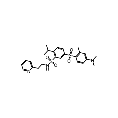 Cc1cc(N(C)C)ccc1S(=O)(=O)c1ccc(C(C)C)c(S(=O)(=O)NCCc2ccccn2)c1